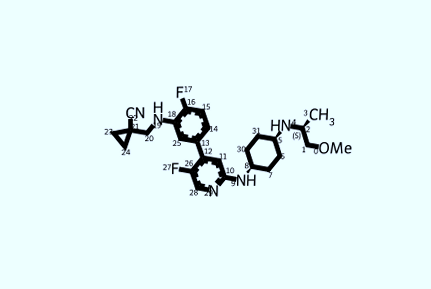 COC[C@H](C)N[C@H]1CC[C@H](Nc2cc(-c3ccc(F)c(NCC4(C#N)CC4)c3)c(F)cn2)CC1